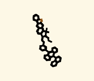 CC/C=C1\C(=C/Cc2cccc(-c3c4ccccc4c(-c4cccc5ccccc45)c4ccccc34)c2)c2ccc3cc4c(cc3c2C1(C)C)sc1ccccc14